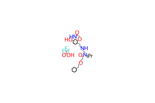 CC(C)N(CCNCCc1ccc(O)c2c1OCC(=O)N2)C(=O)CCOCCc1ccccc1.O=C(O)C(F)(F)F